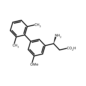 COc1cc(-c2c(C)cccc2C)cc([C@@H](N)CC(=O)O)c1